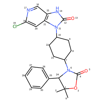 CC1(C)OC(=O)N(C2CCC(n3c(=O)[nH]c4cnc(Cl)cc43)CC2)C1c1ccccc1